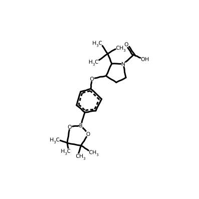 CC(C)(C)C1C(Oc2ccc(B3OC(C)(C)C(C)(C)O3)cc2)CCN1C(=O)O